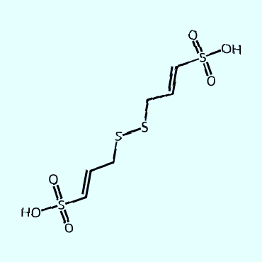 O=S(=O)(O)C=CCSSCC=CS(=O)(=O)O